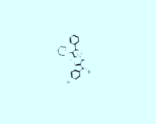 COc1ccc(C(C)(OC)c2c(C)[nH]c3c(N4CCCCC4)c(-c4ccccc4)nn3c2=O)cc1